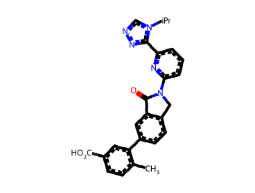 Cc1ccc(C(=O)O)cc1-c1ccc2c(c1)C(=O)N(c1cccc(-c3nncn3C(C)C)n1)C2